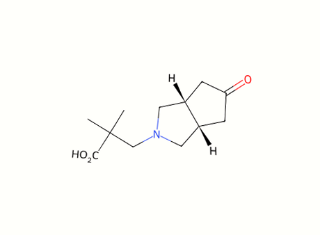 CC(C)(CN1C[C@H]2CC(=O)C[C@H]2C1)C(=O)O